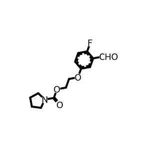 O=Cc1cc(OCCOC(=O)N2CCCC2)ccc1F